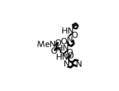 CNC(=O)C(=O)CC[C@H](NC(=O)c1nccc2cnccc12)C(=O)Nc1cccn(CC(=O)NC23CCC(C2)C3)c1=O